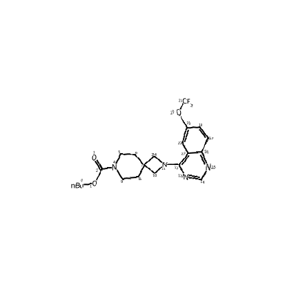 CCCCOC(=O)N1CCC2(CC1)CN(c1ncnc3ccc(OC(F)(F)F)cc13)C2